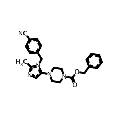 Cc1ncc(N2CCN(C(=O)OCc3ccccc3)CC2)n1Cc1ccc(C#N)cc1